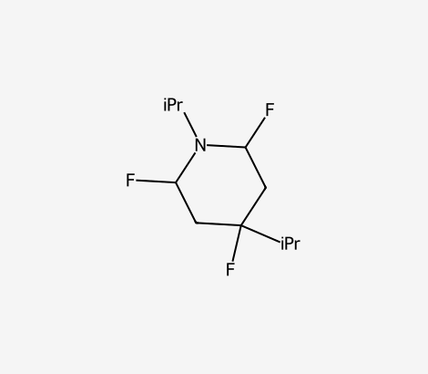 CC(C)N1C(F)CC(F)(C(C)C)CC1F